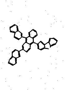 c1ccc2cc(-c3ccc4c(-c5ccc6oc7ccccc7c6c5)c5ccccc5c(-c5ccc6ccccc6c5)c4c3)ccc2c1